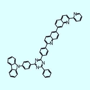 c1ccc(-c2nc(-c3ccc(-c4ccc5cc(-c6ccc7ccc(-c8ccccn8)nc7c6)ccc5n4)cc3)nc(-c3ccc(-n4c5ccccc5c5ccccc54)cc3)n2)cc1